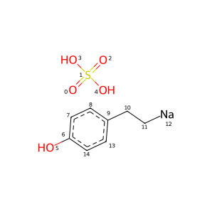 O=S(=O)(O)O.Oc1ccc(C[CH2][Na])cc1